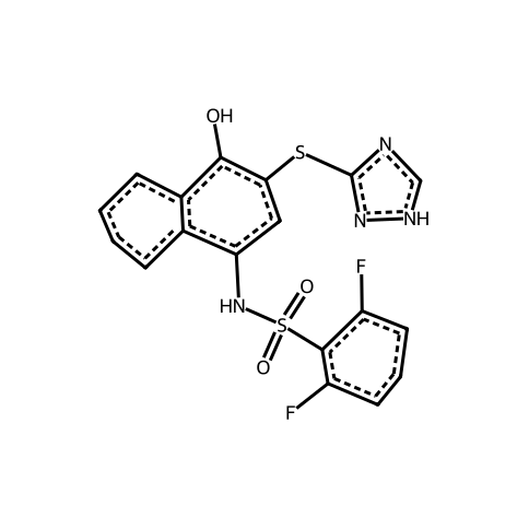 O=S(=O)(Nc1cc(Sc2nc[nH]n2)c(O)c2ccccc12)c1c(F)cccc1F